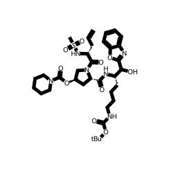 C=CC[C@@H](NS(C)(=O)=O)C(=O)N1C[C@H](OC(=O)N2CCCCC2)C[C@H]1C(=O)N[C@@H](CCCCNC(=O)OC(C)(C)C)C(O)c1nc2ccccc2o1